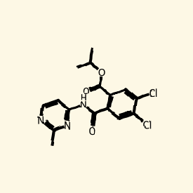 Cc1nccc(NC(=O)c2cc(Cl)c(Cl)cc2C(=O)OC(C)C)n1